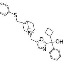 OC(c1ccccc1)(c1ncc(C[N+]23CCC(CC2)C(CSc2ccccc2)C3)o1)C1CCC1